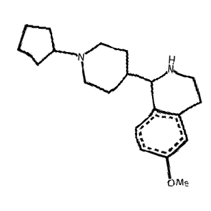 COc1ccc2c(c1)CCNC2C1CCN(C2CCCC2)CC1